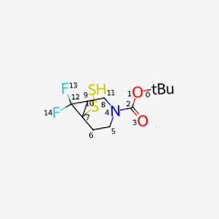 CC(C)(C)OC(=O)N1CCC2(SS)C(C1)C2(F)F